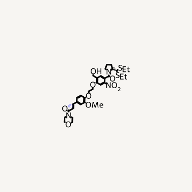 CCSC(SCC)[C@@H]1CCCN1C(=O)c1cc(CO)c(OCCOc2ccc(/C=C/C(=O)N3CCOCC3)cc2OC)cc1[N+](=O)[O-]